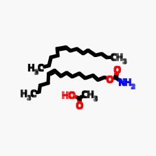 CC(=O)O.CCCC/C=C\CCCCCCCC.CCCC/C=C\CCCCCCCCOC(N)=O